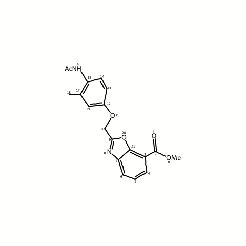 COC(=O)c1cccc2nc(COc3ccc(NC(C)=O)c(C)c3)oc12